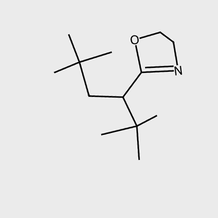 CC(C)(C)CC(C1=NCCO1)C(C)(C)C